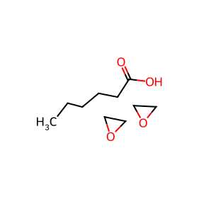 C1CO1.C1CO1.CCCCCC(=O)O